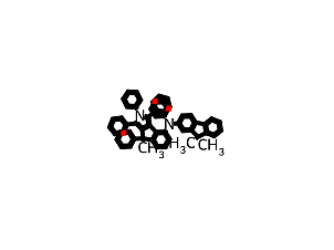 CC1(C)c2ccccc2-c2ccc(N(c3ccccc3)c3cccc4c3-c3c(c(-c5ccccc5)n(-c5ccccc5)c3-c3ccccc3)C4(C)c3ccccc3)cc21